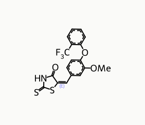 COc1cc(/C=C2/SC(=S)NC2=O)ccc1Oc1ccccc1C(F)(F)F